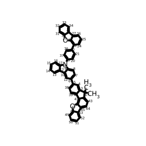 CC1(C)c2cc(-c3ccc4c(c3)c3ccccc3n4-c3ccc(-c4cccc5c4oc4ccccc45)cc3)ccc2-c2c1ccc1c2oc2ccccc21